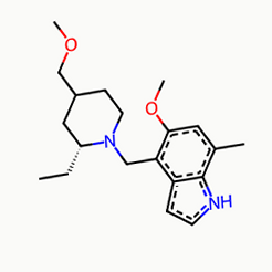 CC[C@@H]1CC(COC)CCN1Cc1c(OC)cc(C)c2[nH]ccc12